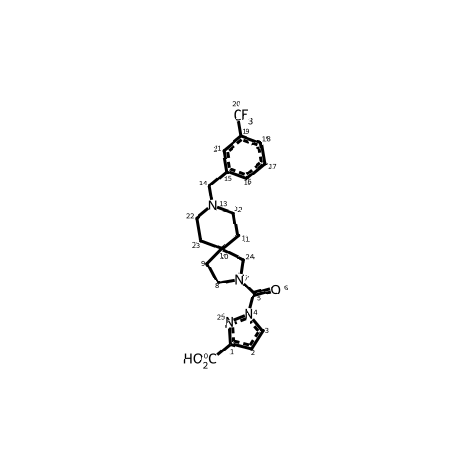 O=C(O)c1ccn(C(=O)N2CCC3(CCN(Cc4cccc(C(F)(F)F)c4)CC3)C2)n1